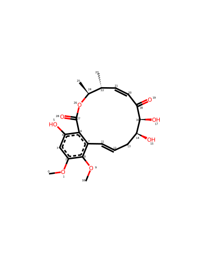 COc1cc(O)c2c(c1OC)/C=C/C[C@H](O)[C@H](O)C(=O)/C=C\[C@@H](C)[C@H](C)OC2=O